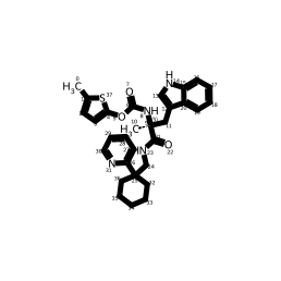 Cc1ccc(OC(=O)N[C@@](C)(Cc2c[nH]c3ccccc23)C(=O)NCC2(c3ccccn3)CCCCC2)s1